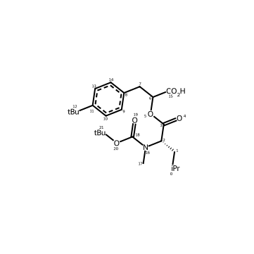 CC(C)C[C@@H](C(=O)OC(Cc1ccc(C(C)(C)C)cc1)C(=O)O)N(C)C(=O)OC(C)(C)C